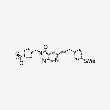 CSc1ccc(CC#Cc2cc3c(=O)n(Cc4ccc(S(C)(=O)=O)cc4)cnc3cn2)cc1